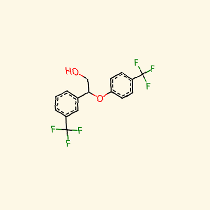 OCC(Oc1ccc(C(F)(F)F)cc1)c1cccc(C(F)(F)F)c1